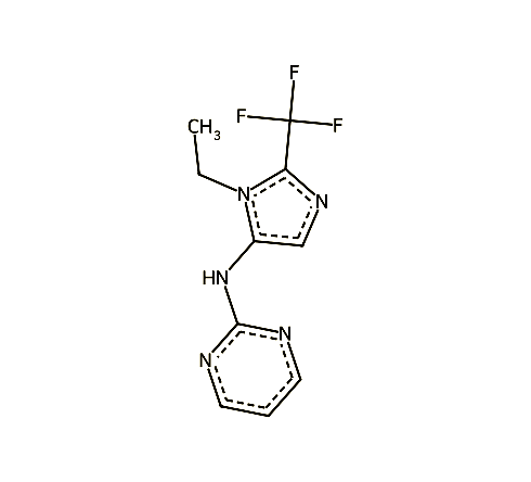 CCn1c(Nc2ncccn2)cnc1C(F)(F)F